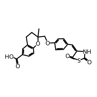 CC1(COc2ccc(C=C3NC(=O)SC3=O)cc2)CCc2cc(C(=O)O)ccc2O1